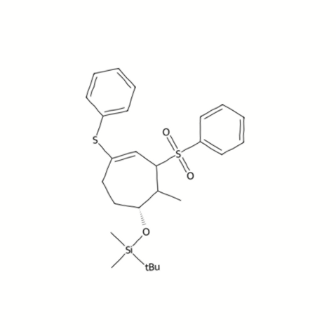 CC1C(S(=O)(=O)c2ccccc2)C=C(Sc2ccccc2)CC[C@H]1O[Si](C)(C)C(C)(C)C